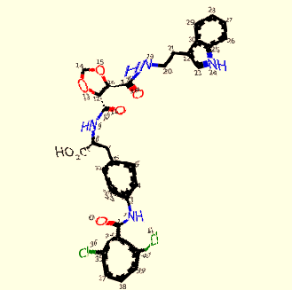 O=C(Nc1ccc(C[C@H](NC(=O)[C@@H]2OCO[C@H]2C(=O)NCCc2c[nH]c3ccccc23)C(=O)O)cc1)c1c(Cl)cccc1Cl